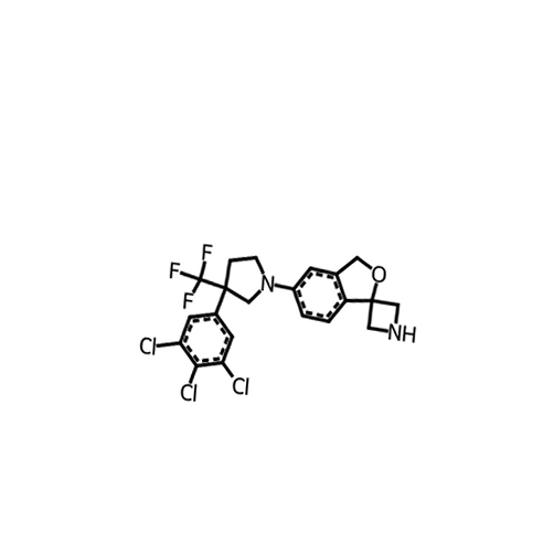 FC(F)(F)C1(c2cc(Cl)c(Cl)c(Cl)c2)CCN(c2ccc3c(c2)COC32CNC2)C1